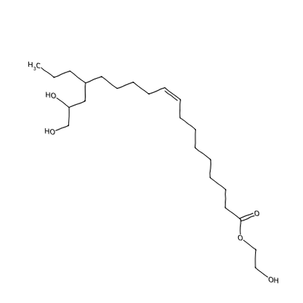 CCCC(CCCC/C=C\CCCCCCCC(=O)OCCO)CC(O)CO